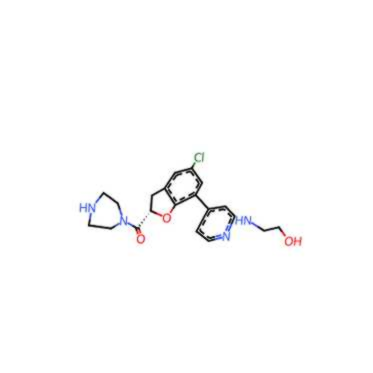 O=C([C@@H]1Cc2cc(Cl)cc(-c3ccnc(NCCO)c3)c2O1)N1CCNCC1